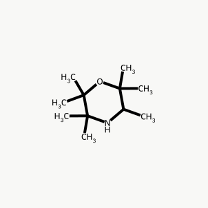 CC1NC(C)(C)C(C)(C)OC1(C)C